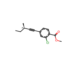 CC[C@@H](C)C#Cc1ccc(C(=O)OC)c(Cl)c1